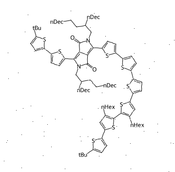 CCCCCCCCCCCCC(CCCCCCCCCC)CN1C(=O)C2=C(c3ccc(-c4ccc(C(C)(C)C)s4)s3)N(CC(CCCCCCCCCC)CCCCCCCCCCCC)C(=O)C2=C1c1ccc(-c2ccc(-c3ccc(-c4cc(CCCCCC)c(-c5sc(-c6ccc(C(C)(C)C)s6)cc5CCCCCC)s4)s3)s2)s1